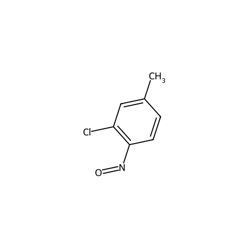 Cc1ccc(N=O)c(Cl)c1